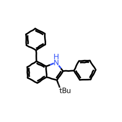 CC(C)(C)c1c(-c2ccccc2)[nH]c2c(-c3ccccc3)cccc12